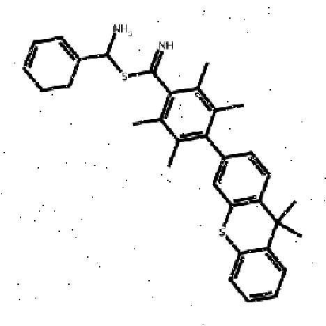 Cc1c(C)c(-c2ccc3c(c2)Sc2ccccc2C3(C)C)c(C)c(C)c1C(=N)SC(N)C1=CC=CCC1